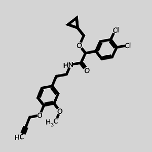 C#CCOc1ccc(CCNC(=O)C(OCC2CC2)c2ccc(Cl)c(Cl)c2)cc1OC